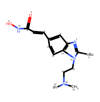 CCCCc1nc2cc(/C=C/C(=O)NO)ccc2n1CCN(C)C(C)C